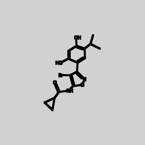 CC(C)c1cc(-c2noc(NC(=O)C3CC3)c2Br)c(O)cc1O